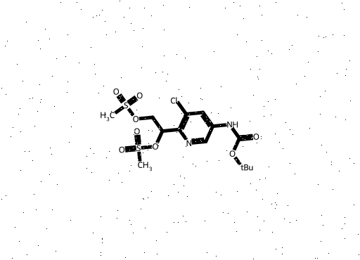 CC(C)(C)OC(=O)Nc1cnc(C(COS(C)(=O)=O)OS(C)(=O)=O)c(Cl)c1